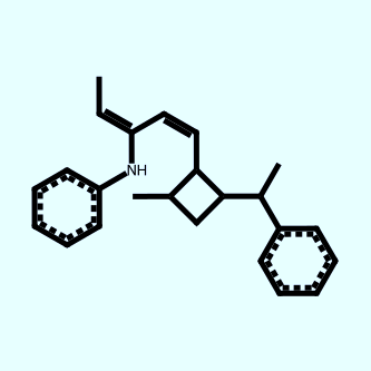 C/C=C(\C=C/C1C(C)CC1C(C)c1ccccc1)Nc1ccccc1